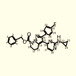 O=C(OCc1ccccc1)N1CCCc2c(-c3ccnc(NC4CC4)n3)c(-c3ccc(F)cc3)nn21